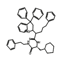 O=C(NCCc1ccccc1)[C@H](CC1CCCCC1)NC(=S)C(CCCc1ccccc1)C(O)CC(c1ccccc1)(c1ccccc1)c1ccccc1